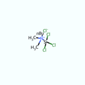 CCCC[N+](C)(C)[Si](Cl)(Cl)Cl.[Cl-]